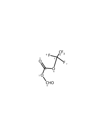 O=COC(=O)OC(F)(F)C(F)(F)F